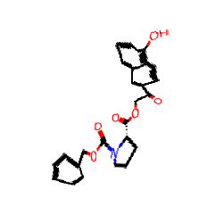 O=C(COC(=O)[C@@H]1CCCN1C(=O)OCc1ccccc1)c1ccc2c(O)cccc2c1